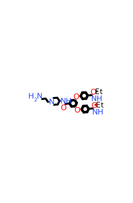 CCOC(=N)c1ccc(Oc2cc(Oc3ccc(C(=N)OCC)cc3)cc(C(=O)NC3CCN(CCCN)CC3)c2)cc1